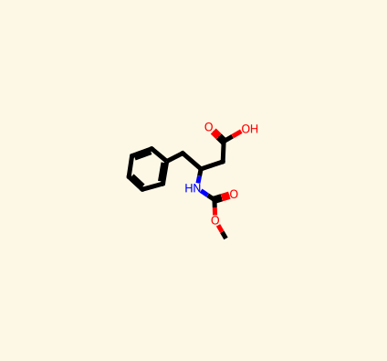 COC(=O)NC(CC(=O)O)Cc1ccccc1